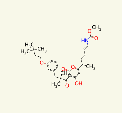 COC(=O)N/C=C/CCC(C)c1cc(O)c(C(=O)C(C)(C)Cc2cccc(OCCC(C)(C)C)c2)c(=O)o1